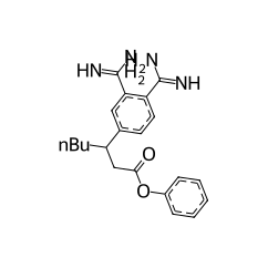 CCCCC(CC(=O)Oc1ccccc1)c1ccc(C(=N)N)c(C(=N)N)c1